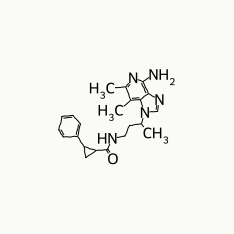 Cc1nc(N)c2ncn(C(C)CCNC(=O)C3CC3c3ccccc3)c2c1C